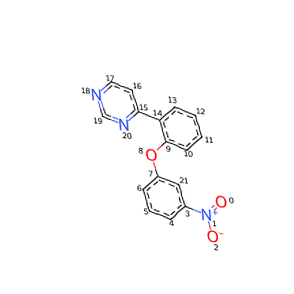 O=[N+]([O-])c1cccc(Oc2ccccc2-c2ccncn2)c1